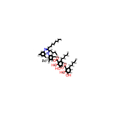 CCCCCCCCC(=Nc1cc(C)cc(C)c1)C(CCCC)=Nc1cc(C)cc(C)c1.CCCCCc1ccc(O)c(O)c1C(=O)[O-].CCCCCc1ccc(O)c(O)c1C(=O)[O-].[Pd+2]